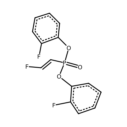 O=P(C=CF)(Oc1ccccc1F)Oc1ccccc1F